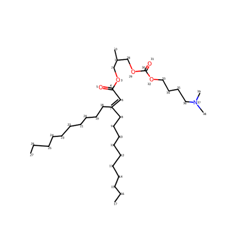 [CH2]C(COC(=O)C=C(CCCCCCCCCC)CCCCCCCCCC)COC(=O)OCCCCN(C)C